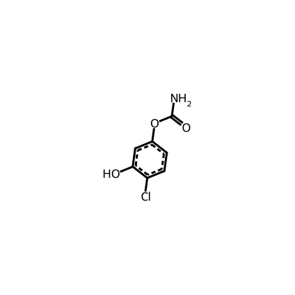 NC(=O)Oc1ccc(Cl)c(O)c1